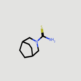 NC(=S)N1CC2CCC(CC2)C1